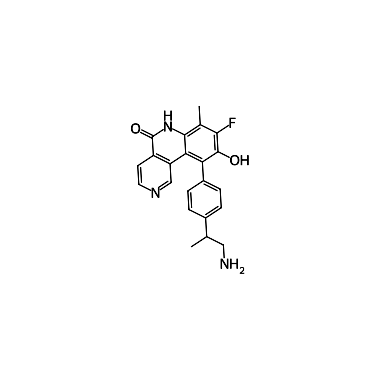 Cc1c(F)c(O)c(-c2ccc(C(C)CN)cc2)c2c1[nH]c(=O)c1ccncc12